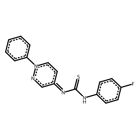 Fc1ccc(NC(=S)N=c2ccn(-c3ccccc3)nc2)cc1